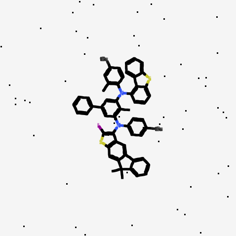 Cc1cc(C(C)(C)C)ccc1N(c1cc(-c2ccccc2)cc(N(c2ccc(C(C)(C)C)cc2)c2c(I)sc3cc4c(cc23)-c2ccccc2C4(C)C)c1C)c1cccc2sc3ccccc3c12